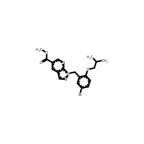 COC(=O)c1cnc2c(cnn2Cc2cc(Br)ccc2OCC(C)C)c1